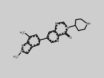 Cc1cc(-c2cnc3c(=O)n(C4CCNCC4)cnc3c2)cc2cn(C)nc12